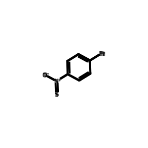 [CH2]Cc1ccc([N+]([O-])=S)cc1